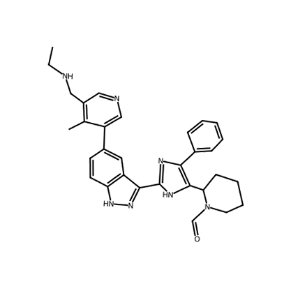 CCNCc1cncc(-c2ccc3[nH]nc(-c4nc(-c5ccccc5)c(C5CCCCN5C=O)[nH]4)c3c2)c1C